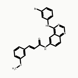 COc1cccc(C=CC(=O)Nc2ccc3ncnc(Nc4cccc(Br)c4)c3c2)c1